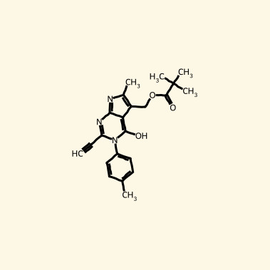 C#Cc1nc2nc(C)c(COC(=O)C(C)(C)C)c-2c(O)n1-c1ccc(C)cc1